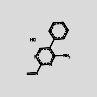 C=Nc1ncc(-c2ccccc2)c(N)n1.Cl